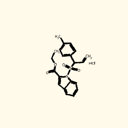 C=CC(c1ccc(C)cc1)S(=O)(=O)n1c(C(=O)OCC)cc2ccccc21.Cl